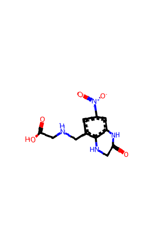 O=C(O)CNCc1cc([N+](=O)[O-])cc2c1NCC(=O)N2